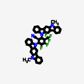 Cn1c2ccccc2c2cc3c(cc21)c1ccccc1n3-c1c(F)c(F)c(C(F)(F)F)c(-n2c3ccccc3c3cc4c(cc32)c2ccccc2n4C)c1C#N